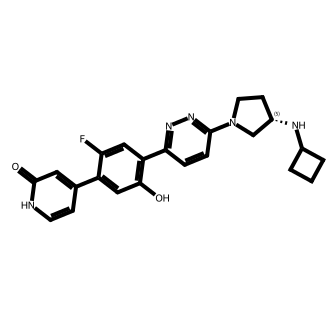 O=c1cc(-c2cc(O)c(-c3ccc(N4CC[C@H](NC5CCC5)C4)nn3)cc2F)cc[nH]1